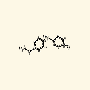 NOc1ccc(Nc2ccc(Cl)cc2)cc1